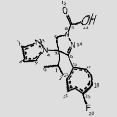 CC(C)C1(n2cccn2)CN(C(=O)O)N=C1c1ccc(F)cc1